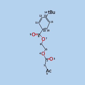 CC(=O)CC(=O)OCCOC(=O)c1ccc(C(C)(C)C)cc1